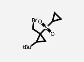 CC(C)(C)C1CC1(CBr)S(=O)(=O)C1CC1